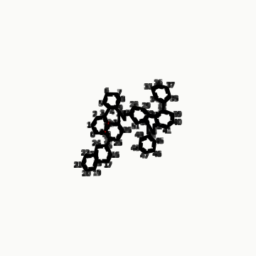 c1ccc(-c2ccccc2N(c2ccc(-c3ccc4ccccc4c3)cc2)c2ccc3c4c(-c5ccccc5)cccc4n(-c4ccccc4)c3c2)cc1